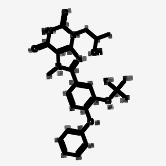 CC(O)Cn1c(=O)[nH]c(=O)c2c1nc(-c1ccc(Oc3ccccc3)c(OC(F)(F)F)c1)n2C